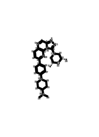 C[C@@H]1CN(c2nnc3cnc4ccc(-c5ccc(N6CCC(N(C)C)CC6)cc5)nc4n23)C[C@H](C)O1